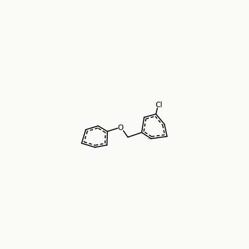 Clc1cc[c]c(COc2ccccc2)c1